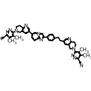 Cc1c(C#N)nnc(N2CCc3ncc(CCc4ccc(-c5cn6cc(-c7cnc8c(c7)CN(c7nnc(C#N)c(C)c7C)CC8)ccc6n5)cc4)cc3C2)c1C